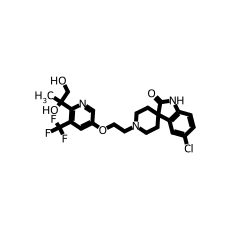 CC(O)(CO)c1ncc(OCCN2CCC3(CC2)C(=O)Nc2ccc(Cl)cc23)cc1C(F)(F)F